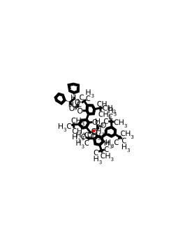 CC(C)(C)c1cc(-c2cc(C(C)(C)C)cc(C(C)(C)C)c2Op2oc3c(C(C)(C)C)cc(C(C)(C)C)cc3c3cc(C(C)(C)C)cc(C(C)(C)C)c3o2)c(OP2O[C@H](c3ccccc3)[C@H](c3ccccc3)O2)c(C(C)(C)C)c1